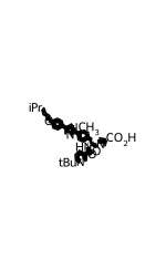 CC(C)CCCOc1ccc(-c2cnc(C3=CC=C(C[C@H](NC(=O)c4ccc(C(C)(C)C)nc4)C(=O)N4CC(C(=O)O)C4)CC3C)nc2)cc1